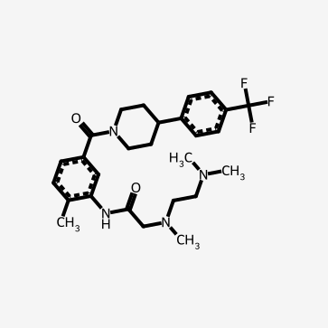 Cc1ccc(C(=O)N2CCC(c3ccc(C(F)(F)F)cc3)CC2)cc1NC(=O)CN(C)CCN(C)C